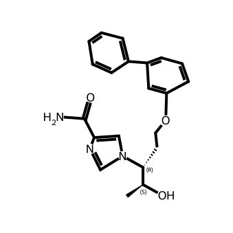 C[C@H](O)[C@@H](CCOc1cccc(-c2ccccc2)c1)n1cnc(C(N)=O)c1